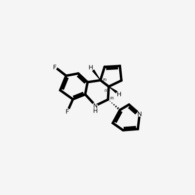 Fc1cc(F)c2c(c1)[C@@H]1C=CC[C@@H]1[C@H](c1cccnc1)N2